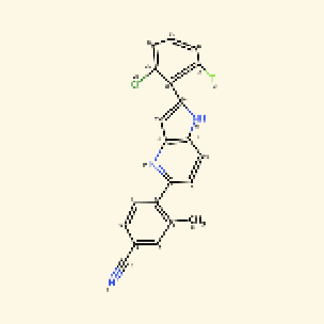 Cc1cc(C#N)ccc1-c1ccc2[nH]c(-c3c(F)cccc3Cl)cc2n1